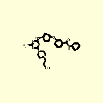 Cc1nc(Nc2ccc(Oc3cccc(C(=O)Nc4ccccc4)c3)cc2)nc(N2CCN(CCO)CC2)n1